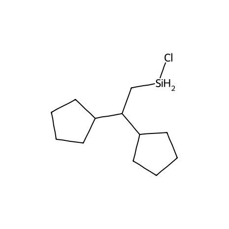 Cl[SiH2]CC(C1CCCC1)C1CCCC1